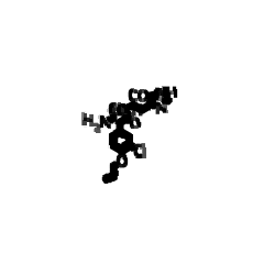 C=CCOc1ccc(CC(=O)N[C@@H](Cc2c[nH]cn2)C(=O)OCC)cc1Cl.NCC(=O)O